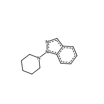 c1ccc2c(c1)cnn2N1CCCCC1